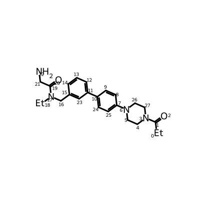 CCC(=O)N1CCN(c2ccc(-c3cccc(CN(CC)C(=O)CN)c3)cc2)CC1